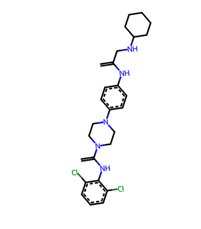 C=C(CNC1CCCCC1)Nc1ccc(N2CCN(C(=C)Nc3c(Cl)cccc3Cl)CC2)cc1